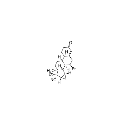 CC[C@@H]1CC2=CC(=O)CC[C@@H]2[C@H]2CC[C@@]3(C)[C@@H]([C@@H]4C[C@@H]4[C@@]3(C#N)CC)[C@H]12